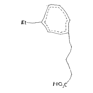 CCc1[c]ccc(CCCC(=O)O)c1